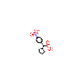 O=C(O)C(c1ccc([N+](=O)[O-])cc1)C1CCCC1